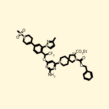 CCOC(=O)[C@@H]1CC2(CCN(c3cc(OC(c4ccc(C5=CCN(S(C)(=O)=O)CC5)cc4-n4ccc(C)n4)C(F)(F)F)nc(N)n3)CC2)CN1C(=O)OCc1ccccc1